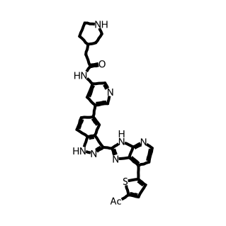 CC(=O)c1ccc(-c2ccnc3[nH]c(-c4n[nH]c5ccc(-c6cncc(NC(=O)CC7CCNCC7)c6)cc45)nc23)s1